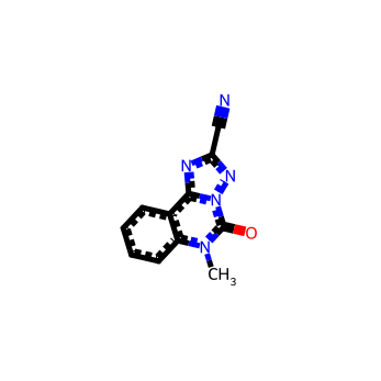 Cn1c(=O)n2nc(C#N)nc2c2ccccc21